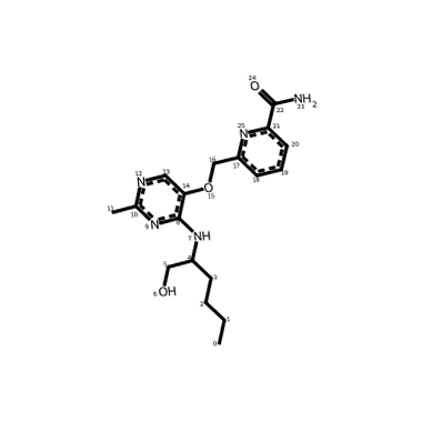 CCCCC(CO)Nc1nc(C)ncc1OCc1cccc(C(N)=O)n1